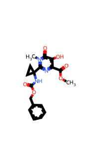 COC(=O)c1nc(C2(NC(=O)OCc3ccccc3)CC2)n(C)c(=O)c1O